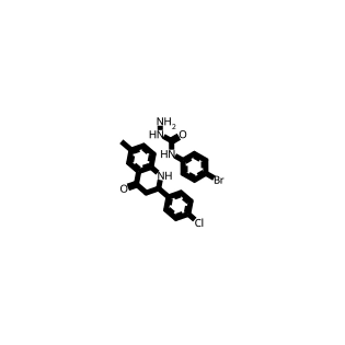 Cc1ccc2c(c1)C(=O)CC(c1ccc(Cl)cc1)N2.NNC(=O)Nc1ccc(Br)cc1